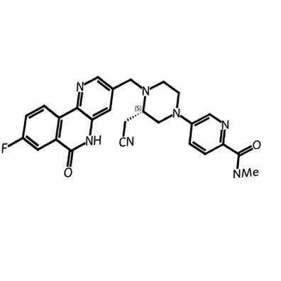 CNC(=O)c1ccc(N2CCN(Cc3cnc4c(c3)[nH]c(=O)c3cc(F)ccc34)[C@@H](CC#N)C2)cn1